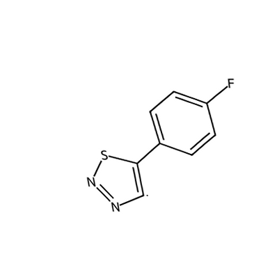 Fc1ccc(-c2[c]nns2)cc1